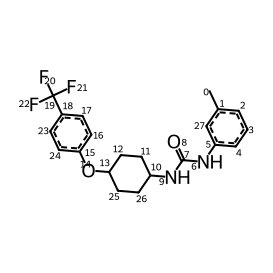 Cc1cccc(NC(=O)NC2CCC(Oc3ccc(C(F)(F)F)cc3)CC2)c1